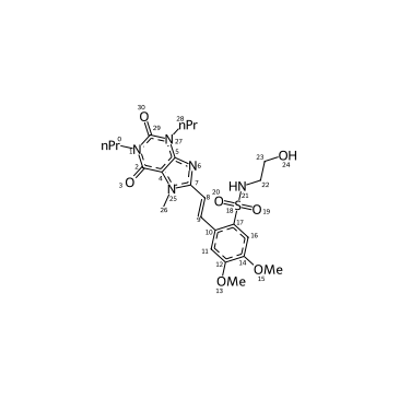 CCCn1c(=O)c2c(nc(/C=C/c3cc(OC)c(OC)cc3S(=O)(=O)NCCO)n2C)n(CCC)c1=O